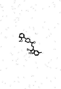 COc1ccccc1N1CCN(C(=O)CCc2c(Br)[nH]c3ccc(C)cc23)CC1